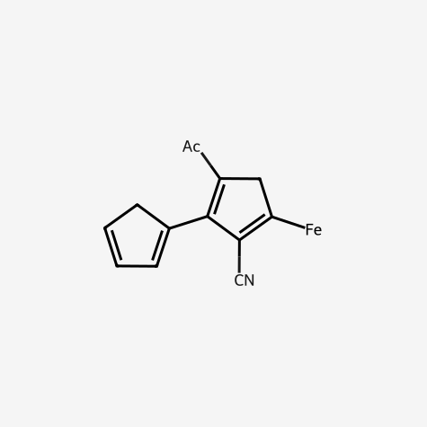 CC(=O)C1=C(C2=CC=CC2)C(C#N)=[C]([Fe])C1